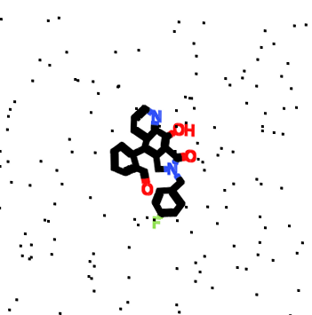 O=Cc1ccccc1-c1c2c(c(O)c3ncccc13)C(=O)N(Cc1ccc(F)cc1)C2